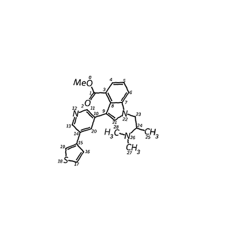 COC(=O)c1cccc2c1c(-c1cncc(-c3ccsc3)c1)cn2CC(C)N(C)C